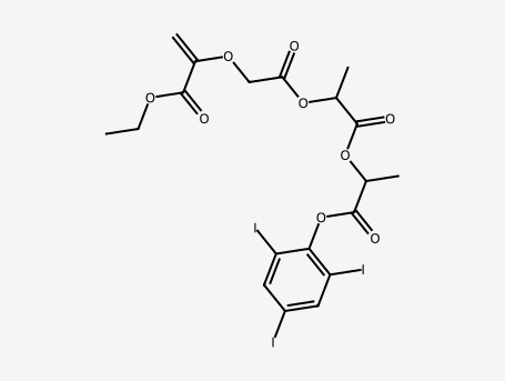 C=C(OCC(=O)OC(C)C(=O)OC(C)C(=O)Oc1c(I)cc(I)cc1I)C(=O)OCC